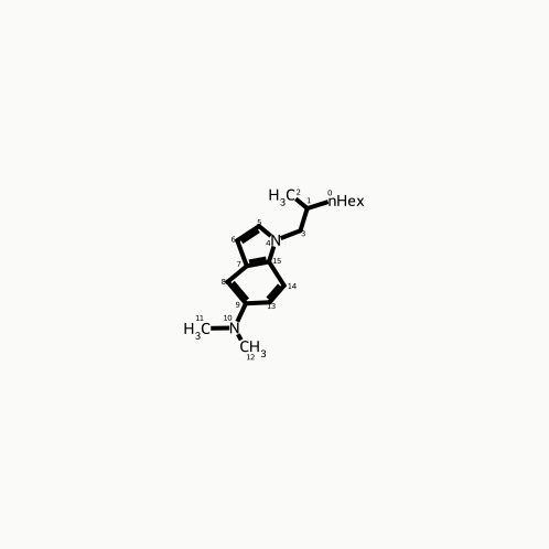 CCCCCCC(C)Cn1ccc2cc(N(C)C)ccc21